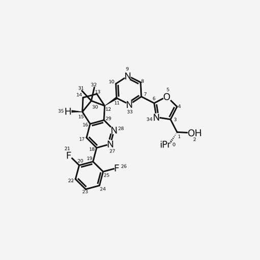 CC(C)[C@@H](O)c1coc(-c2cncc([C@@]34CC[C@@H](c5cc(-c6c(F)cccc6F)nnc53)C4(C)C)n2)n1